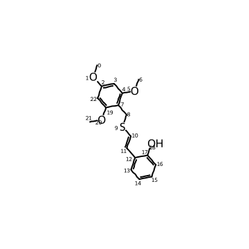 COc1cc(OC)c(CSC=Cc2ccccc2O)c(OC)c1